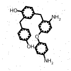 Nc1ccc(Oc2ccc(N)c(Cc3ccc(O)c(Cc4ccc(O)cc4)c3)c2)cc1